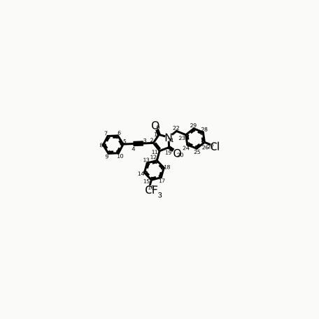 O=C1C(C#Cc2ccccc2)=C(c2ccc(C(F)(F)F)cc2)C(=O)N1Cc1ccc(Cl)cc1